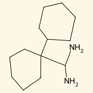 NC(N)C1(C2CCCCC2)CCCCC1